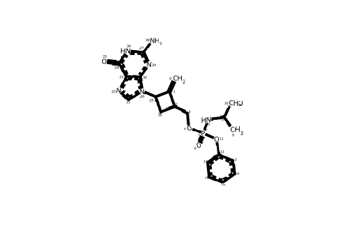 C=C1C(COP(=O)(NC(C)C=O)Oc2ccccc2)CC1n1cnc2c(=O)[nH]c(N)nc21